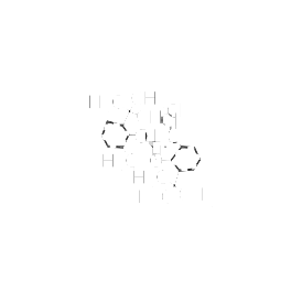 Cc1cccc(C(C)(C)C)c1[O][Ti+2][O]c1c(C)cccc1C(C)(C)C.[Cl-].[Cl-]